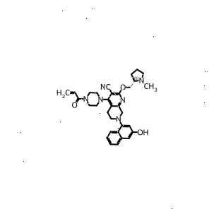 C=CC(=O)N1CCN(c2c(C#N)c(OC[C@@H]3CCCN3C)nc3c2CCN(c2cc(O)cc4ccccc24)C3)CC1